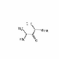 CCCCCC([C]=O)C(=O)C(C)CCCC